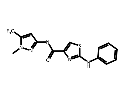 Cn1nc(NC(=O)c2csc(Nc3ccccc3)n2)cc1C(F)(F)F